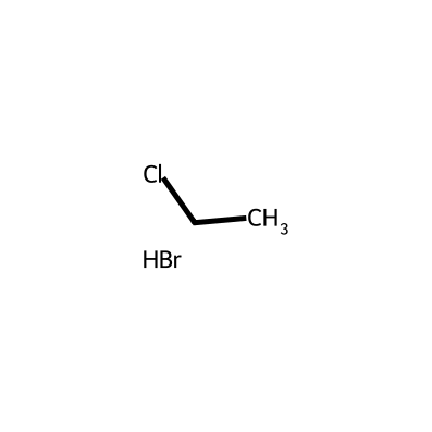 Br.CCCl